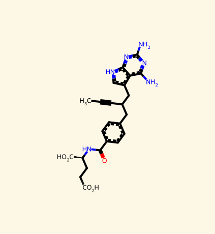 CC#CC(Cc1ccc(C(=O)N[C@@H](CCC(=O)O)C(=O)O)cc1)Cc1c[nH]c2nc(N)nc(N)c12